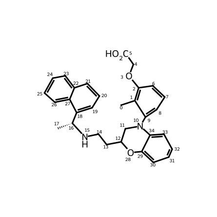 Cc1c(OCC(=O)O)cccc1N1CC(CCN[C@H](C)c2cccc3ccccc23)Oc2ccccc21